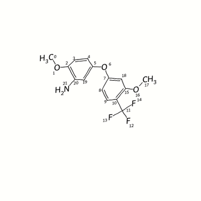 COc1ccc(Oc2ccc(C(F)(F)F)c(OC)c2)cc1N